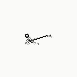 C=CCC(C)(CCCCCCCCCCCC)C(=O)Oc1ccccc1